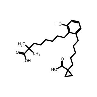 CC(C)(CCCCCCc1c(O)cccc1CCCCCC1(C(=O)O)CC1)C(=O)O